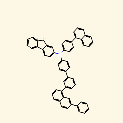 c1ccc(-c2ccc3cccc(-c4cccc(-c5ccc(N(c6ccc(-c7cccc8ccccc78)cc6)c6ccc7c(c6)Cc6ccccc6-7)cc5)c4)c3c2)cc1